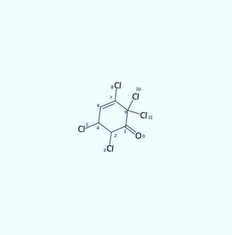 O=C1C(Cl)C(Cl)C=C(Cl)C1(Cl)Cl